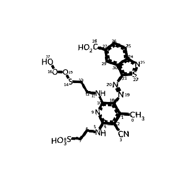 Cc1c(C#N)c(NCCS(=O)(=O)O)nc(NCCSOOO)c1/N=N/c1snc2ccc(C(=O)O)cc12